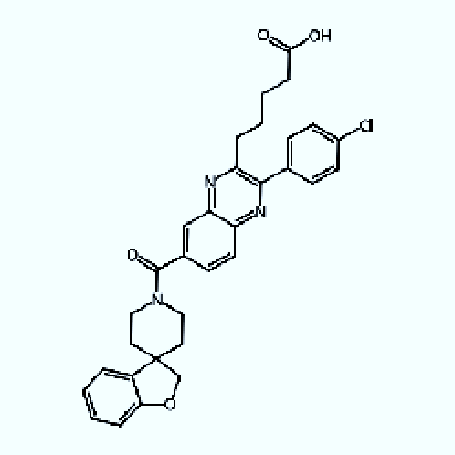 O=C(O)CCCCc1nc2cc(C(=O)N3CCC4(CC3)COc3ccccc34)ccc2nc1-c1ccc(Cl)cc1